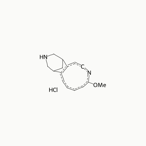 COc1ccccc2c(ccn1)C1CNCC2C1.Cl